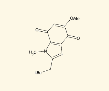 COC1=CC(=O)c2c(cc(CC(C)(C)C)n2C)C1=O